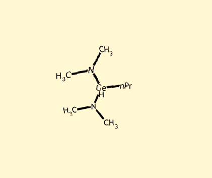 CC[CH2][GeH]([N](C)C)[N](C)C